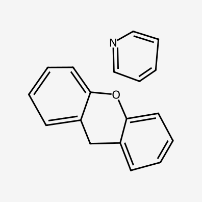 c1ccc2c(c1)Cc1ccccc1O2.c1ccncc1